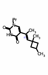 C/C(=C\C1(C)CC(C)C1)c1cn(C(C)C)c(=O)[nH]c1=O